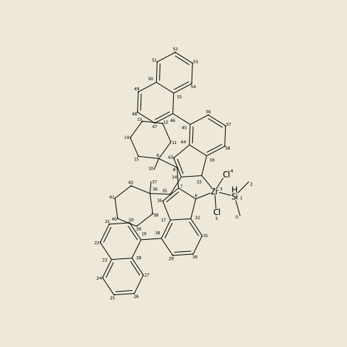 C[SiH](C)[Zr]([Cl])([Cl])([CH]1C(CC2(C)CCCCC2)=Cc2c(-c3cccc4ccccc34)cccc21)[CH]1C(CC2(C)CCCCC2)=Cc2c(-c3cccc4ccccc34)cccc21